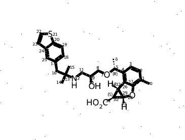 Cc1ccc([C@@H](C)OCC(O)CNC(C)(C)Cc2ccc3sccc3c2)c2c1O[C@@H]1[C@@H](C(=O)O)[C@H]21